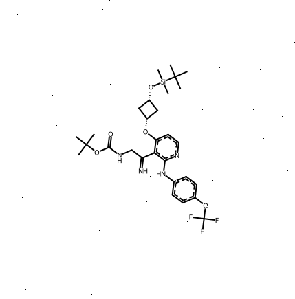 CC(C)(C)OC(=O)NCC(=N)c1c(O[C@H]2C[C@@H](O[Si](C)(C)C(C)(C)C)C2)ccnc1Nc1ccc(OC(F)(F)F)cc1